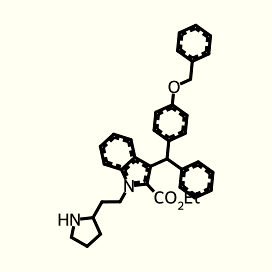 CCOC(=O)c1c(C(c2ccccc2)c2ccc(OCc3ccccc3)cc2)c2ccccc2n1CCC1CCCN1